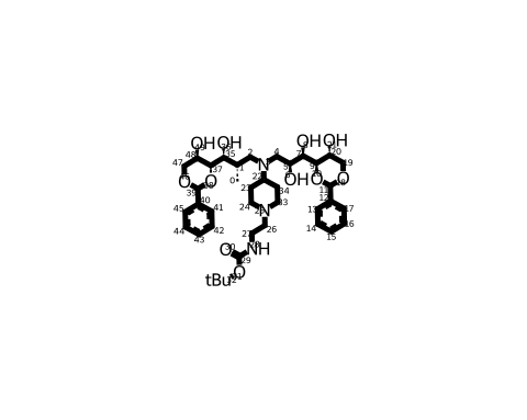 C[C@@H](CN(C[C@H](O)[C@@H](O)[C@@H]1OC(c2ccccc2)OC[C@H]1O)C1CCN(CCNC(=O)OC(C)(C)C)CC1)[C@@H](O)[C@@H]1OC(c2ccccc2)OC[C@H]1O